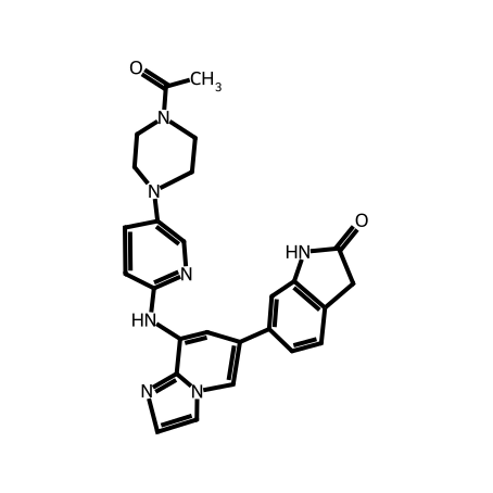 CC(=O)N1CCN(c2ccc(Nc3cc(-c4ccc5c(c4)NC(=O)C5)cn4ccnc34)nc2)CC1